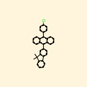 CC1(C)c2ccccc2-c2ccc(-c3c4ccccc4c(-c4ccc(Cl)cc4)c4ccccc34)cc21